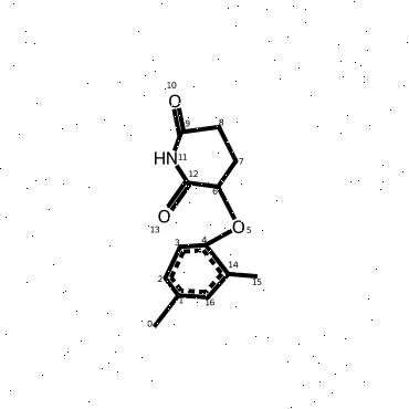 Cc1ccc(OC2CCC(=O)NC2=O)c(C)c1